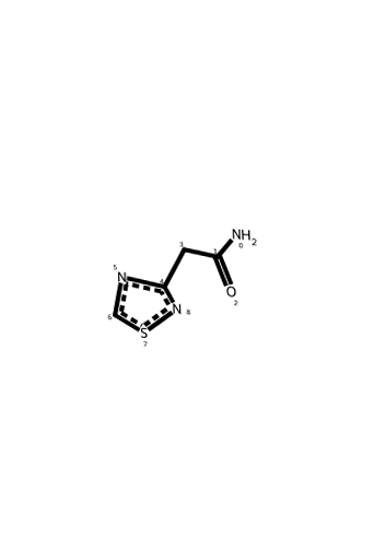 NC(=O)Cc1ncsn1